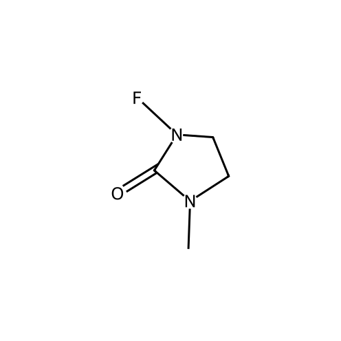 CN1CCN(F)C1=O